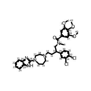 COc1cc(C(=O)N(C)CC(CCN2CCCN(c3nc4ccccc4[nH]3)CC2)c2ccc(Cl)c(Cl)c2)cc(OC)c1OC